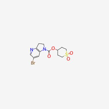 O=C(OC1CCS(=O)(=O)CC1)N1CCc2ncc(Br)cc21